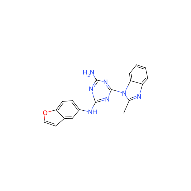 Cc1nc2ccccc2n1-c1nc(N)nc(Nc2ccc3occc3c2)n1